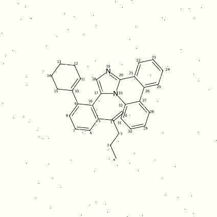 C=C(CCC)c1cccc(C2=CCCCC2)c1-c1cnc2c3ccccc3c3ccccc3n12